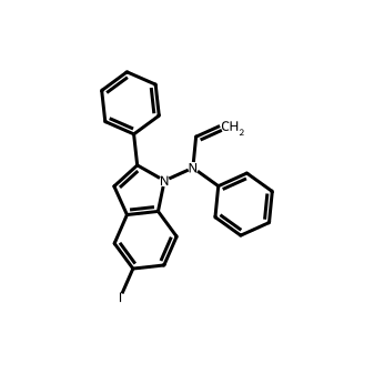 C=CN(c1ccccc1)n1c(-c2ccccc2)cc2cc(I)ccc21